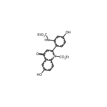 CCOC(=O)Nc1cc(O)ccc1-c1cc(=O)c2cc(O)ccc2n1C(=O)OCC